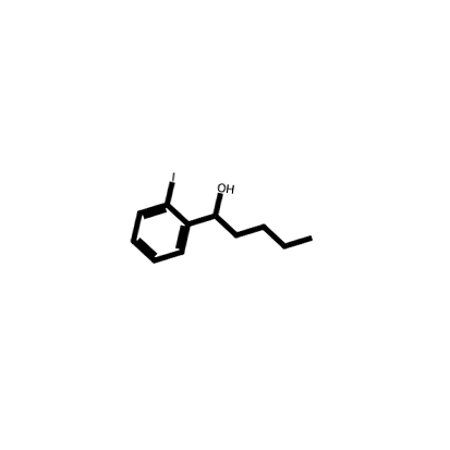 CCCCC(O)c1ccccc1I